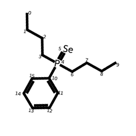 CCCCP(=[Se])(CCCC)c1ccccc1